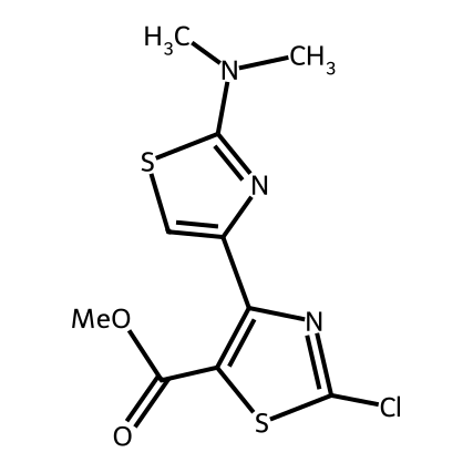 COC(=O)c1sc(Cl)nc1-c1csc(N(C)C)n1